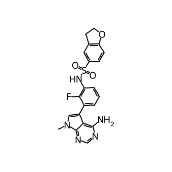 Cn1cc(-c2cccc(NS(=O)(=O)c3ccc4c(c3)CCO4)c2F)c2c(N)ncnc21